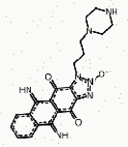 N=c1c2c(=O)c3n[n+]([O-])n(CCCN4CCNCC4)c3c(=O)c=2c(=N)c2ccccc12